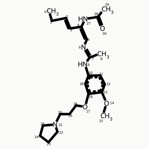 CC/C=C/C(=C\N=C(/C)Nc1ccc(OC)c(OCCCN2CCCC2)c1)NC(C)=O